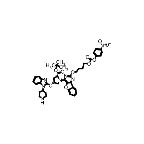 CC(C)(C)OC(=O)[C@@H]1C[C@H](Oc2nc3ccccc3n2C2CCNCC2)CN1c1nc(OCCCCOC(=O)Oc2ccc([N+](=O)[O-])cc2)nc2c1oc1ccccc12